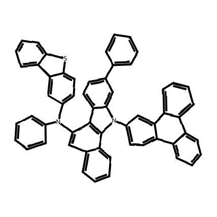 c1ccc(-c2ccc3c4c(N(c5ccccc5)c5ccc6sc7ccccc7c6c5)cc5ccccc5c4n(-c4ccc5c6ccccc6c6ccccc6c5c4)c3c2)cc1